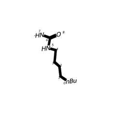 CCCCCCCCNC([NH])=O